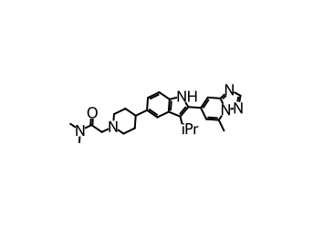 Cc1cc(-c2[nH]c3ccc(C4CCN(CC(=O)N(C)C)CC4)cc3c2C(C)C)cc2ncnn12